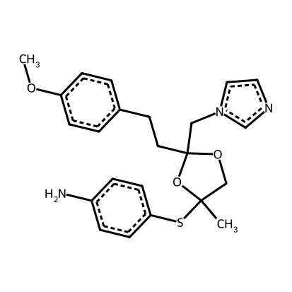 COc1ccc(CCC2(Cn3ccnc3)OCC(C)(Sc3ccc(N)cc3)O2)cc1